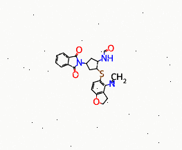 C=Nc1c(SC2C[C@@H](N3C(=O)c4ccccc4C3=O)CC2NC=O)ccc2c1CCO2